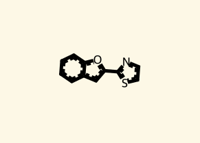 c1ccc2oc(-c3nccs3)cc2c1